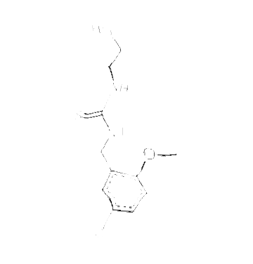 COc1ccc(Cl)cc1CNC(=S)NCCO